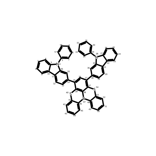 c1ccc(-n2c3ccccc3c3ccc(-c4cc(-c5ccc6c7ccccc7n(-c7ccccc7)c6c5)c5c6c4Sc4ccccc4B6c4ccccc4S5)cc32)cc1